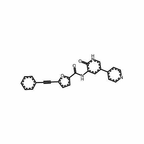 O=C(Nc1cc(-c2ccncc2)c[nH]c1=O)c1ccc(C#Cc2ccccc2)o1